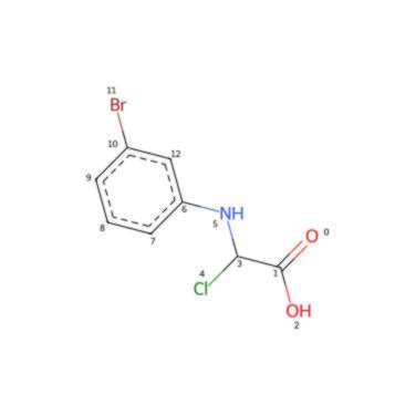 O=C(O)C(Cl)Nc1cccc(Br)c1